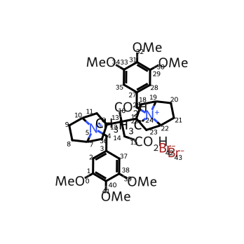 COc1cc(C[N+]2(C)C3CCC2CC(C(CC(=O)O)(C(=O)O)C2CC4CCC(C2)[N+]4(C)Cc2cc(OC)c(OC)c(OC)c2)C3)cc(OC)c1OC.[Br-].[Br-]